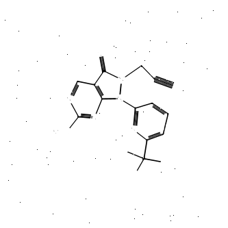 C#CCn1c(=O)c2cnc(SC)nc2n1-c1cccc(C(C)(C)O)n1